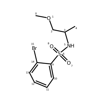 COCC(C)NS(=O)(=O)c1ccccc1Br